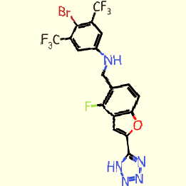 Fc1c(CNc2cc(C(F)(F)F)c(Br)c(C(F)(F)F)c2)ccc2oc(-c3nnn[nH]3)cc12